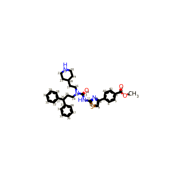 COC(=O)c1ccc(-c2csc(NC(=O)N(CCC3CCNCC3)CCC(c3ccccc3)c3ccccc3)n2)cc1